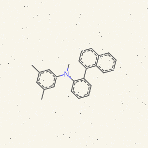 Cc1cc(C)cc(N(C)c2ccccc2-c2cccc3ccccc23)c1